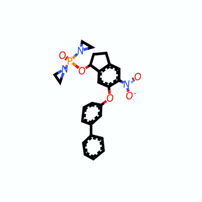 O=[N+]([O-])c1cc2c(cc1Oc1cccc(-c3ccccc3)c1)C(OP(=O)(N1CC1)N1CC1)CC2